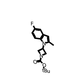 Cc1cc2cc(F)ccc2n1C1CN(C(=O)OC(C)(C)C)C1